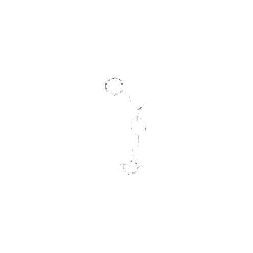 O=C(CCc1ccccc1)N1CCC(CCn2ccnn2)CC1